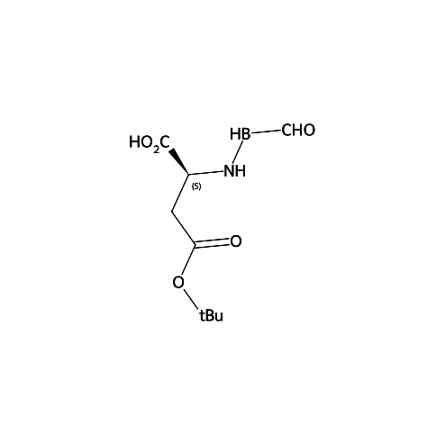 CC(C)(C)OC(=O)C[C@H](NBC=O)C(=O)O